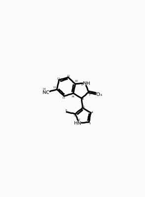 Cc1[nH]ccc1C1C(=O)Nc2ccc(C#N)cc21